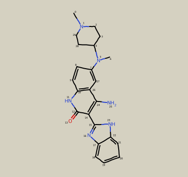 CN1CCC(N(C)c2ccc3[nH]c(=O)c(-c4nc5ccccc5[nH]4)c(N)c3c2)CC1